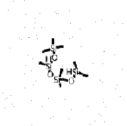 C[SiH](C)O[Si](C)(C)O[SiH](C)O[Si](C)(C)C